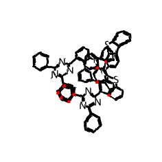 c1ccc(-c2nc(-c3ccccc3)nc(-c3cccc(-n4c5ccccc5c5c6sc7ccccc7c6ccc54)c3-c3cccc(-c4c(-c5nc(-c6ccccc6)nc(-c6ccccc6)n5)cccc4-n4c5ccccc5c5c6sc7ccccc7c6ccc54)c3)n2)cc1